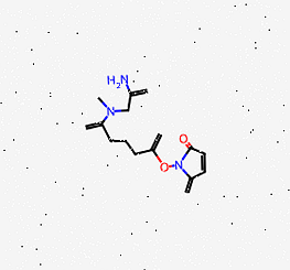 C=C(N)CN(C)C(=C)CCCC(=C)ON1C(=C)C=CC1=O